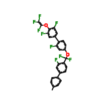 Cc1ccc(-c2ccc(C(F)(F)Oc3ccc(-c4cc(F)c(OC(F)=C(F)F)c(F)c4)c(F)c3)c(F)c2)cc1